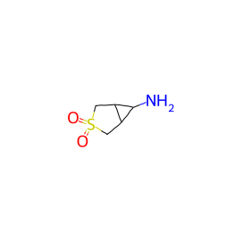 NC1C2CS(=O)(=O)CC12